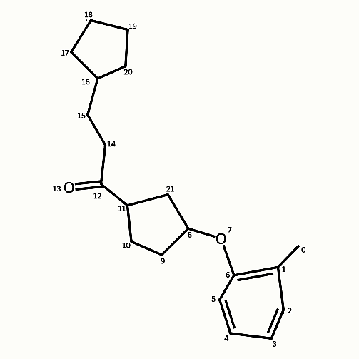 Cc1[c]cccc1OC1CCC(C(=O)CCC2C[CH]CC2)C1